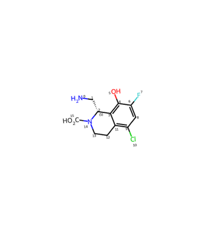 NC[C@@H]1c2c(O)c(F)cc(Cl)c2CCN1C(=O)O